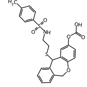 Cc1ccc(S(=O)(=O)NCCSC2c3ccccc3COc3ccc(OC(=O)O)cc32)cc1